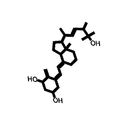 C=C1C(=CC=C2CCCC3(C)C2CCC3C(C)C=CC(C)C(C)(C)O)CC(O)CC1O